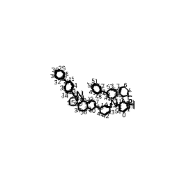 C1=C[C@@H]2SC3CCC=CC3C2C(N(C2=CC(C3=CC=C4c5nc(-c6ccc(-c7ccccc7)cc6)oc5CCC4C3)CC=C2)C2C=C(c3ccccc3)C=CC2)=C1